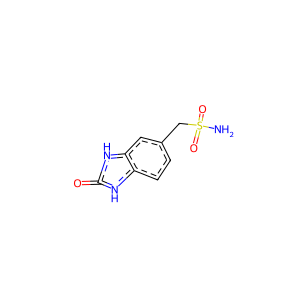 NS(=O)(=O)Cc1ccc2[nH]c(=O)[nH]c2c1